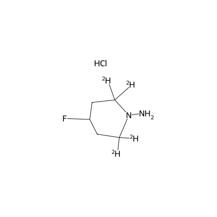 Cl.[2H]C1([2H])CC(F)CC([2H])([2H])N1N